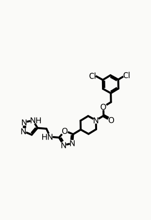 O=C(OCc1cc(Cl)cc(Cl)c1)N1CCC(c2nnc(NCc3cnn[nH]3)o2)CC1